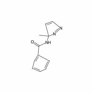 CC1(NC(=O)c2ccccc2)C=CN=N1